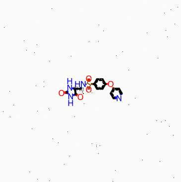 C[C@@H](NS(=O)(=O)c1ccc(Oc2ccncc2)cc1)[C@]1(C)NC(=O)NC1=O